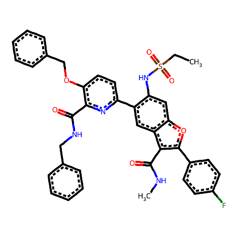 CCS(=O)(=O)Nc1cc2oc(-c3ccc(F)cc3)c(C(=O)NC)c2cc1-c1ccc(OCc2ccccc2)c(C(=O)NCc2ccccc2)n1